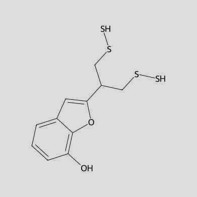 Oc1cccc2cc(C(CSS)CSS)oc12